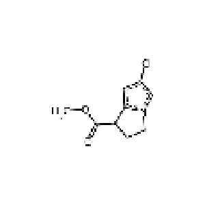 COC(=O)C1CCn2cc(Cl)cc21